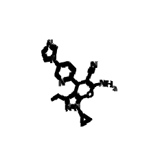 CCc1nn(C2CC2)c2c1C(c1ccc(-n3ccnc3)cn1)C(C#N)=C(N)O2